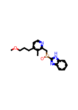 COCCCc1ccnc(C[S+]([O-])c2nc3ccccc3[nH]2)c1C